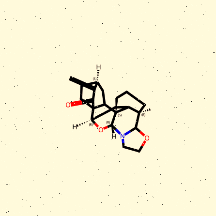 C=C1C(=O)C23CC[C@H]1CC2[C@@]12CCC[C@@]4(C)C5OCCN5[C@@H]1O[C@@H]3CC42